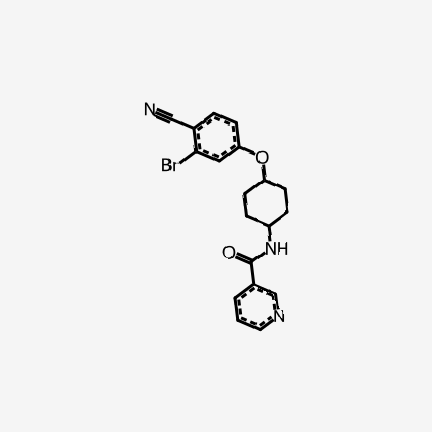 N#Cc1ccc(OC2CCC(NC(=O)c3cccnc3)CC2)cc1Br